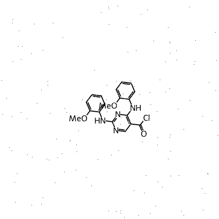 COc1ccccc1Nc1ncc(C(=O)Cl)c(Nc2ccccc2OC)n1